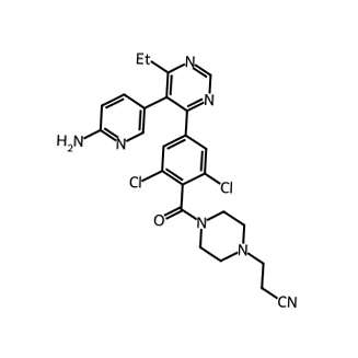 CCc1ncnc(-c2cc(Cl)c(C(=O)N3CCN(CCC#N)CC3)c(Cl)c2)c1-c1ccc(N)nc1